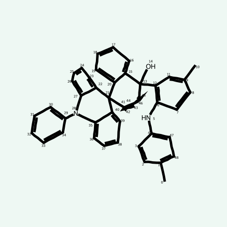 Cc1ccc(Nc2ccc(C)cc2C2(O)c3ccccc3C3(c4ccccc4N(c4ccccc4)c4ccccc43)c3ccccc32)cc1